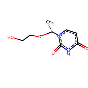 C[C@@H](OCCO)n1ccc(=O)[nH]c1=O